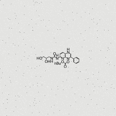 CCCCOC(=O)ON1C(c2ccccc2)=CNc2ccc(NC(=O)NCC(O)CO)nc21